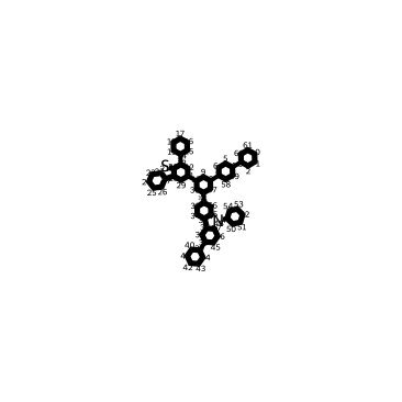 c1ccc(-c2ccc(-c3cc(-c4cc(-c5ccccc5)c5sc6ccccc6c5c4)cc(-c4ccc5c6cc(-c7ccccc7)ccc6n(-c6ccccc6)c5c4)c3)cc2)cc1